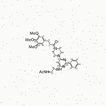 COc1cc(CCC(=O)N2CCN(c3cc(NCCNC(C)=O)nc(-c4ccccc4)n3)CC2)cc(OC)c1OC